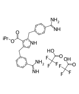 CC(C)OC(=O)c1c(Cc2cccc(C(=N)N)c2)c[nH]c1Cc1ccc(C(=N)N)cc1.O=C(O)C(F)(F)F.O=C(O)C(F)(F)F